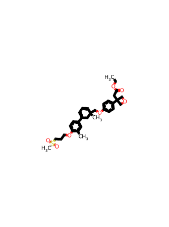 CCOC(=O)CC1(c2ccc(OCC3(C)C=CC=C(c4ccc(OCCCS(C)(=O)=O)c(C)c4)C3)cc2)COC1